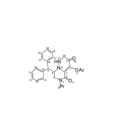 CC(=O)OC1=C2C(=O)N(C(C)C)CC(C(c3ccccc3)c3ccccc3)N2NCC1=O